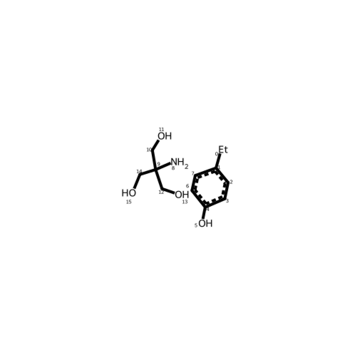 CCc1ccc(O)cc1.NC(CO)(CO)CO